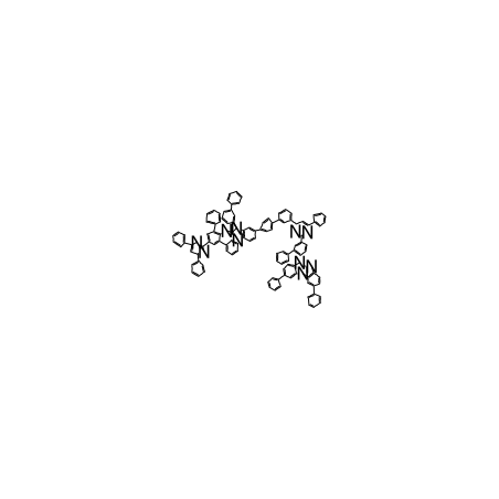 c1ccc(-c2ccc3nc4n(-c5ccc(-c6nc(-c7ccccc7)cc(-c7cccc(-c8ccc(-c9ccc%10nc%11n(-c%12c(-c%13ccccc%13)cc(-c%13nc(-c%14ccccc%14)cc(-c%14ccccc%14)n%13)cc%12-c%12ccccc%12)c%12ccc(-c%13ccccc%13)cc%12n%11c%10c9)cc8)c7)n6)cc5-c5ccccc5)c5ccc(-c6ccccc6)cc5n4c3c2)cc1